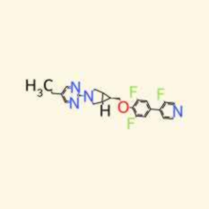 CCc1cnc(N2CC3[C@@H](COc4c(F)cc(-c5ccncc5F)cc4F)[C@@H]3C2)nc1